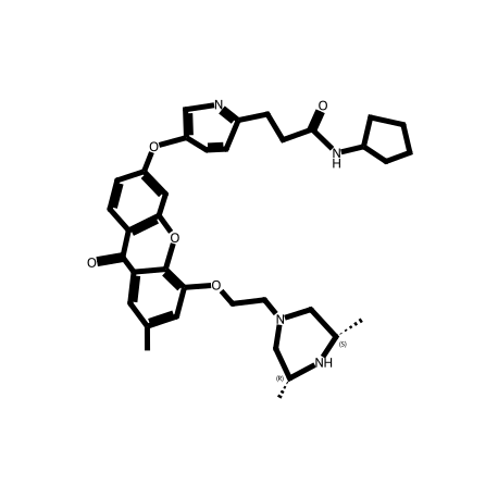 Cc1cc(OCCN2C[C@@H](C)N[C@@H](C)C2)c2oc3cc(Oc4ccc(CCC(=O)NC5CCCC5)nc4)ccc3c(=O)c2c1